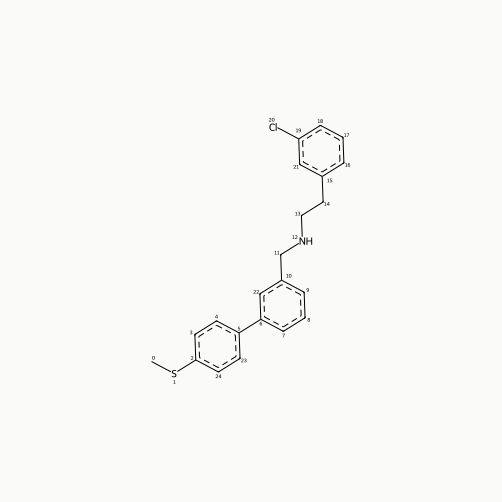 CSc1ccc(-c2cccc(CNCCc3cccc(Cl)c3)c2)cc1